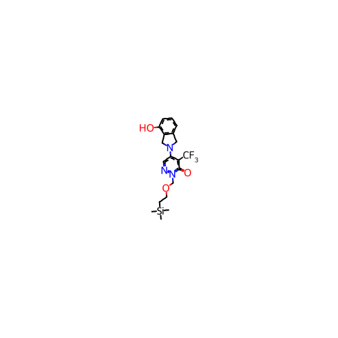 C[Si](C)(C)CCOCn1ncc(N2Cc3cccc(O)c3C2)c(C(F)(F)F)c1=O